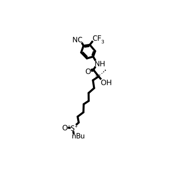 CCCC[S+]([O-])CCCCCCCC[C@](C)(O)C(=O)Nc1ccc(C#N)c(C(F)(F)F)c1